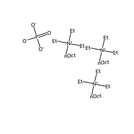 CCCCCCCC[N+](CC)(CC)CC.CCCCCCCC[N+](CC)(CC)CC.CCCCCCCC[N+](CC)(CC)CC.O=P([O-])([O-])[O-]